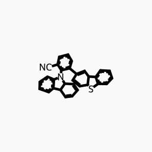 N#Cc1cccc(C2=CC3c4ccccc4SC3C=C2)c1N1c2ccccc2C2C=CC=CC21